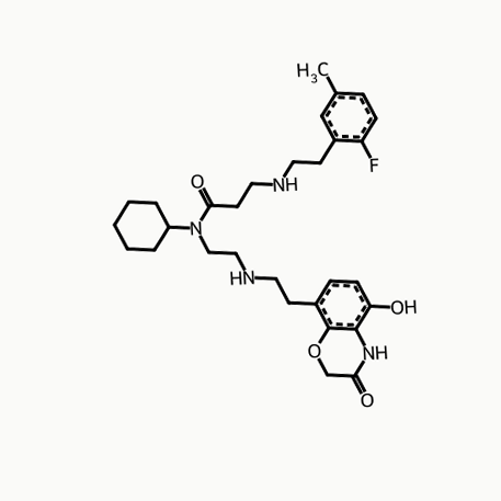 Cc1ccc(F)c(CCNCCC(=O)N(CCNCCc2ccc(O)c3c2OCC(=O)N3)C2CCCCC2)c1